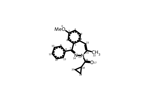 COc1ccc2c(c1)C(c1ccccc1)=NN(C(=O)C1CC1)C(C)=C2